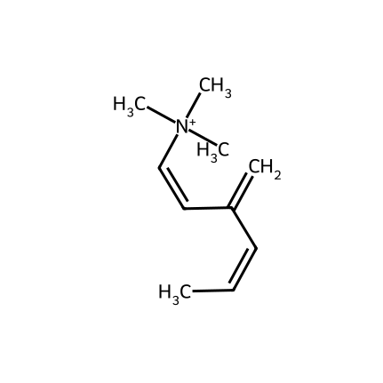 C=C(/C=C\C)/C=C\[N+](C)(C)C